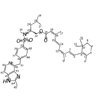 CC(C=CC1=C(C)CCCC1(C)C)=CC=CC(C)=CC(=O)OC[C@H](CC(C)C)N(C)S(=O)(=O)c1ccc(Cc2nccc3[nH]c(C)nc23)cc1